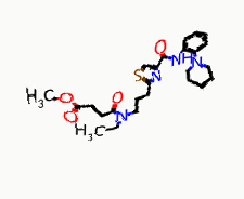 CCOC(=O)CCC(=O)N(CC)CCCc1nc(C(=O)Nc2ccccc2N2CCCCC2)cs1